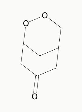 O=C1CC2COOC(C1)C2